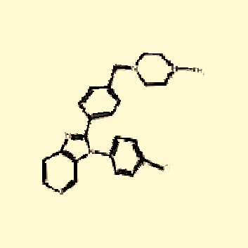 CN1CCN(Cc2ccc(-c3nc4ccncc4n3-c3ccc(Cl)cc3)cc2)CC1